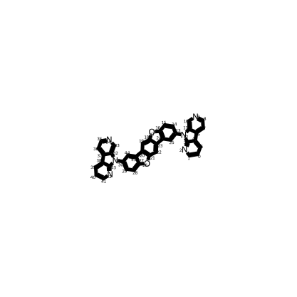 c1cnc2c(c1)c1ccncc1n2-c1ccc2oc3cc4c(cc3c2c1)oc1ccc(-n2c3cnccc3c3cccnc32)cc14